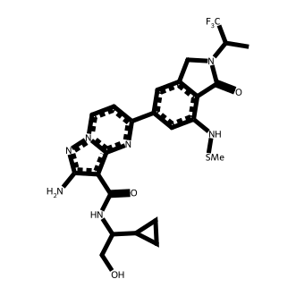 CSNc1cc(-c2ccn3nc(N)c(C(=O)NC(CO)C4CC4)c3n2)cc2c1C(=O)N(C(C)C(F)(F)F)C2